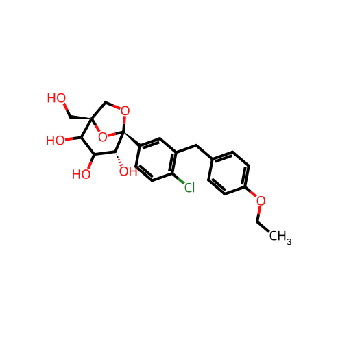 CCOc1ccc(Cc2cc([C@]34OC[C@](CO)(O3)C(O)C(O)[C@H]4O)ccc2Cl)cc1